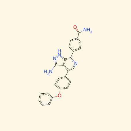 NC(=O)c1ccc(-c2ncc(-c3ccc(Oc4ccccc4)cc3)c3c(N)n[nH]c23)cc1